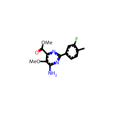 COC(=O)c1nc(-c2ccc(C)c(F)c2)nc(N)c1OC